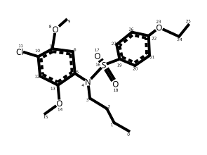 CCCCN(c1cc(OC)c(Cl)cc1OC)S(=O)(=O)c1ccc(OCC)cc1